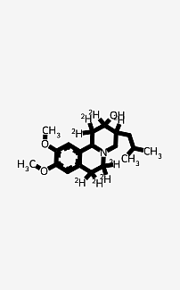 [2H]C1(CC(C)C)CN2C(c3cc(OC)c(OC)cc3C([2H])([2H])C2([2H])[2H])C([2H])([2H])C1([2H])O